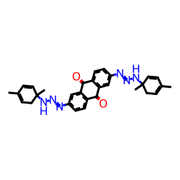 CC1=CCC(C)(NN=Nc2ccc3c(c2)C(=O)c2ccc(N=NNC4(C)C=CC(C)=CC4)cc2C3=O)C=C1